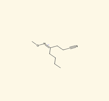 CCCC/C(CCC#N)=N\OC